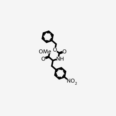 COC(=O)C(Cc1ccc([N+](=O)[O-])cc1)NC(=O)OCc1ccccc1